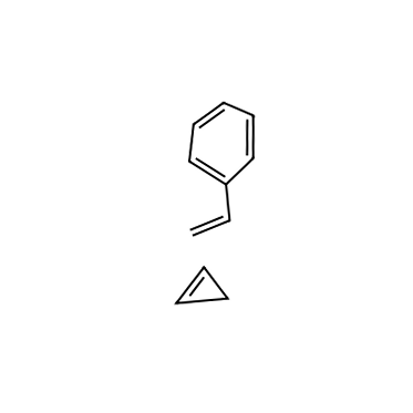 C1=CC1.C=Cc1ccccc1